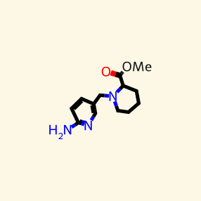 COC(=O)C1CCCCN1Cc1ccc(N)nc1